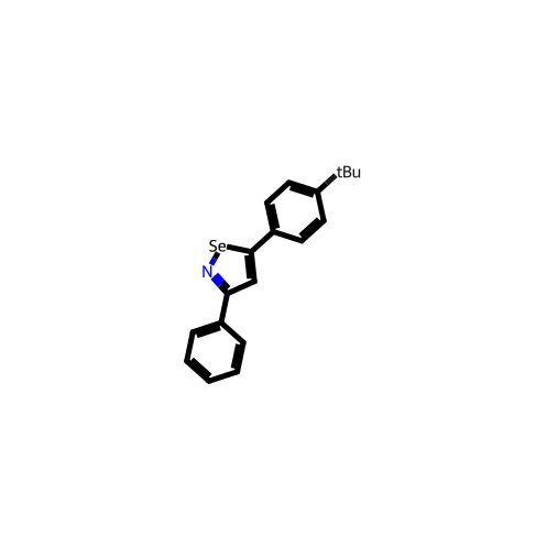 CC(C)(C)c1ccc(-c2cc(-c3ccccc3)n[se]2)cc1